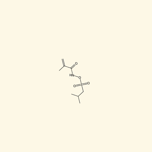 C=C(C)C(=O)NOS(=O)(=O)CC(C)C